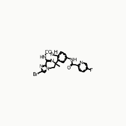 CC1(c2cc(NC(=O)c3ccc(F)cn3)ccc2F)Cn2cc(Br)nc2C(NC(=O)O)=N1